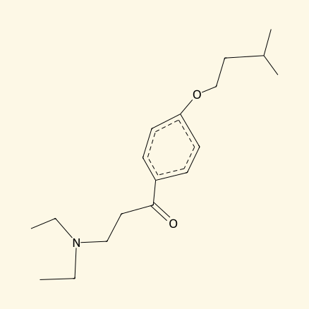 CCN(CC)CCC(=O)c1ccc(OCCC(C)C)cc1